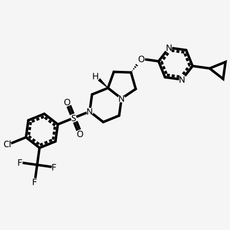 O=S(=O)(c1ccc(Cl)c(C(F)(F)F)c1)N1CCN2C[C@@H](Oc3cnc(C4CC4)cn3)C[C@H]2C1